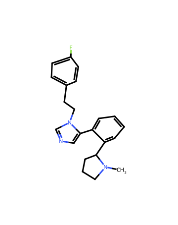 CN1CCCC1c1ccccc1-c1cncn1CCc1ccc(F)cc1